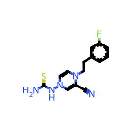 N#CC1=CN(NC(N)=S)C=CN1CCc1cccc(F)c1